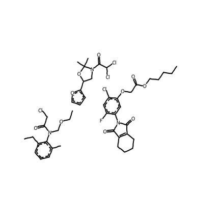 CC1(C)OC(c2ccco2)CN1C(=O)C(Cl)Cl.CCCCCOC(=O)COc1cc(N2C(=O)C3=C(CCCC3)C2=O)c(F)cc1Cl.CCOCN(C(=O)CCl)c1c(C)cccc1CC